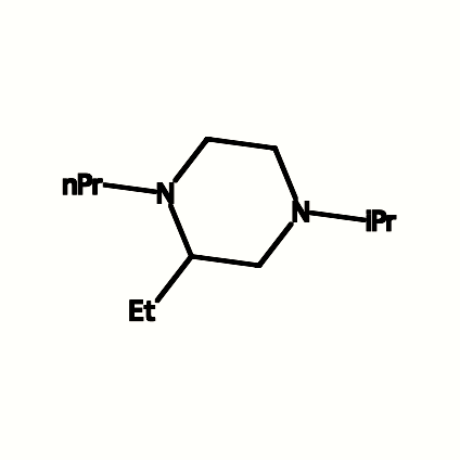 CCCN1CCN(C(C)C)CC1CC